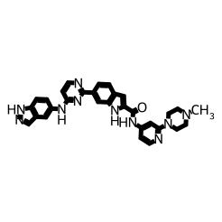 CN1CCN(c2cc(NC(=O)c3cc4ccc(-c5nccc(Nc6ccc7[nH]ncc7c6)n5)cc4[nH]3)ccn2)CC1